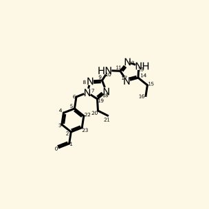 C=Cc1ccc(Cn2nc(Nc3n[nH]c(CC)n3)nc2CC)cc1